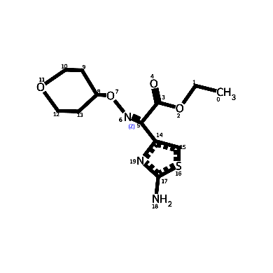 CCOC(=O)/C(=N\OC1CCOCC1)c1csc(N)n1